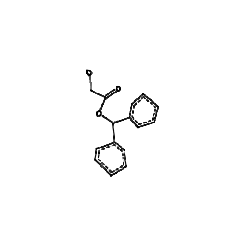 [O]CC(=O)OC(c1ccccc1)c1ccccc1